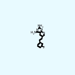 Nc1nc(N)c2cc(C=Cc3cccc(F)c3)cnc2n1